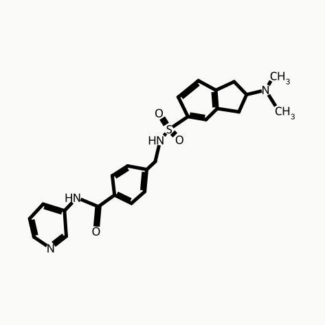 CN(C)C1Cc2ccc(S(=O)(=O)NCc3ccc(C(=O)Nc4cccnc4)cc3)cc2C1